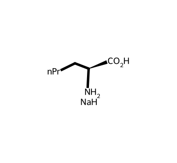 CCCC[C@H](N)C(=O)O.[NaH]